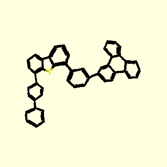 c1ccc(-c2ccc(-c3cccc4c3sc3c(-c5cccc(-c6ccc7c8ccccc8c8ccccc8c7c6)c5)cccc34)cc2)cc1